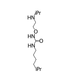 CC(C)CCCCNC(=O)NOCCNC(C)C